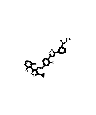 COC(=O)c1cccc(C2CC(c3ccc(OCc4c(-c5c(Cl)cccc5Cl)noc4C4CC4)cc3Cl)=NO2)c1